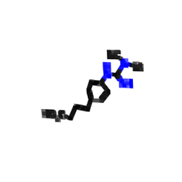 CCN(C#N)C(=N)Nc1ccc(/C=C/CC(=O)O)cc1